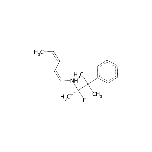 C/C=C\C=C/N[C@](C)(F)C(C)(C)c1ccccc1